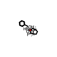 C[C@@]12CC[C@@](C)([C@H](F)[C@H](NCc3ccccc3)C1)N2C(=O)O